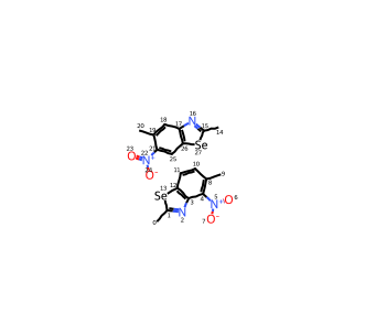 Cc1nc2c([N+](=O)[O-])c(C)ccc2[se]1.Cc1nc2cc(C)c([N+](=O)[O-])cc2[se]1